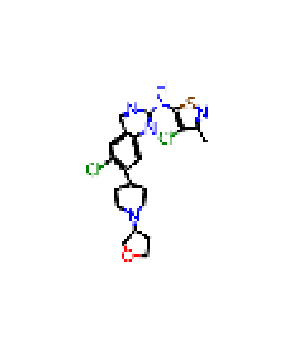 Cc1nsc(Nc2ncc3cc(Cl)c(C4CCN(C5CCOC5)CC4)cc3n2)c1Cl